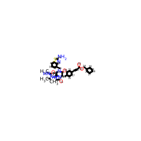 CNC(=O)N(C(C)C)N1CC(=O)N2[C@@H](Cc3ccc(C#CC(=O)OCc4ccccc4)cc3)C(=O)N(Cc3cccc4sc(N)nc34)C[C@@H]21